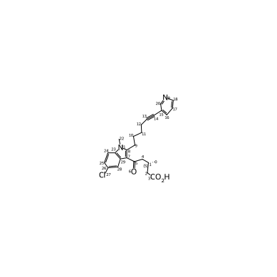 C[C@H](CC(=O)O)CC(=O)c1c(CCCCC#Cc2cccnc2)n(C)c2ccc(Cl)cc12